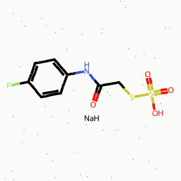 O=C(CSS(=O)(=O)O)Nc1ccc(F)cc1.[NaH]